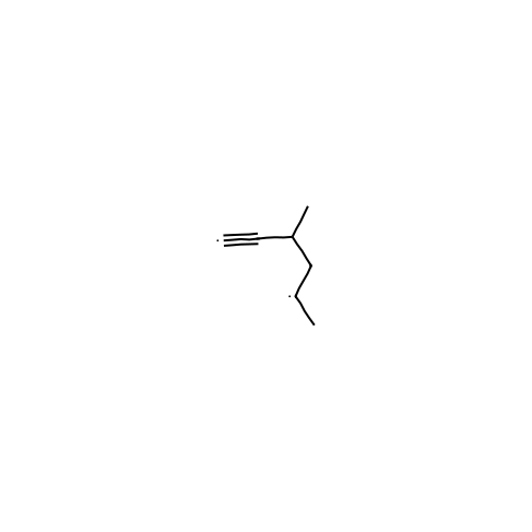 [C]#CC(C)C[CH]C